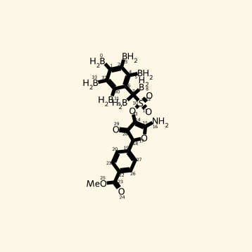 Bc1c(B)c(B)c(C(B)(B)S(=O)(=O)OC2=C(N)OC(c3ccc(C(=O)OC)cc3)C2=O)c(B)c1B